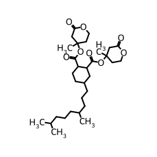 CC(C)CCCC(C)CCCC1CCC(C(=O)OC2(C)CCOC(=O)C2)C(C(=O)OC2(C)CCOC(=O)C2)C1